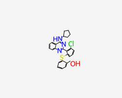 OCc1ccccc1Sc1cccc(Cl)c1-c1nc(NC2CCCC2)c2ccccc2n1